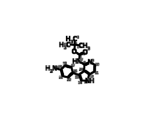 CC(C)(C)OC(=O)Nc1nccc2[nH]cc(-c3ccc(N)cc3)c12